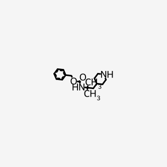 CC(C)(CC1CCNCC1)NC(=O)OCc1ccccc1